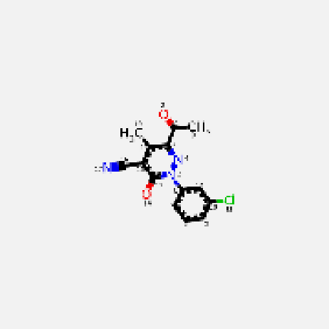 CC(=O)c1nn(-c2cccc(Cl)c2)c(=O)c(C#N)c1C